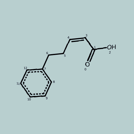 O=C(O)/C=C\CCc1ccccc1